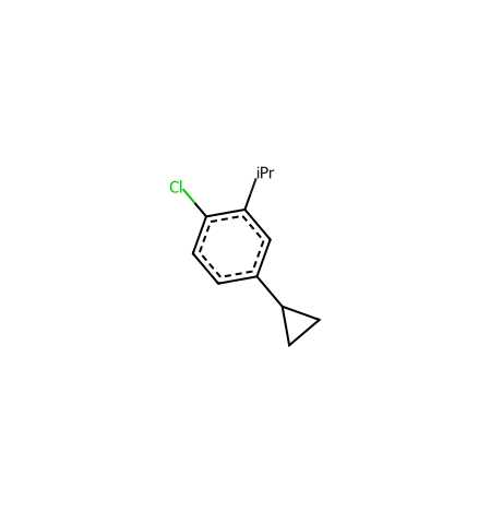 [CH2]C(C)c1cc(C2CC2)ccc1Cl